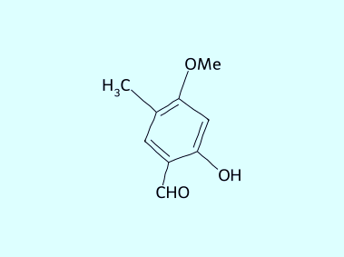 COc1cc(O)c(C=O)cc1C